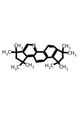 CC1(C)CC(C)(C)c2c1ccc1c2ccc2c3c(cnc21)C(C)(C)CC3(C)C